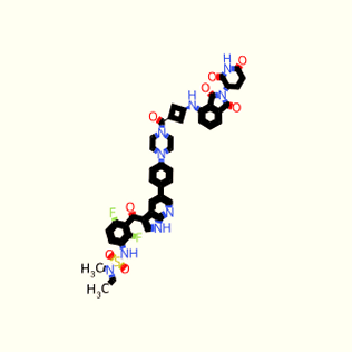 CCN(C)S(=O)(=O)Nc1ccc(F)c(C(=O)c2c[nH]c3ncc(-c4ccc(N5CCN(C(=O)[C@H]6C[C@H](Nc7cccc8c7C(=O)N(C7CCC(=O)NC7=O)C8=O)C6)CC5)cc4)cc23)c1F